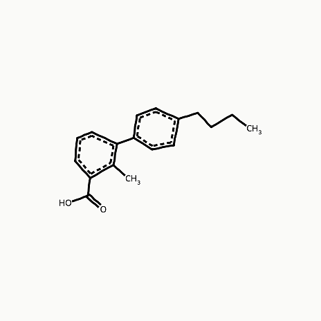 CCCCc1ccc(-c2cccc(C(=O)O)c2C)cc1